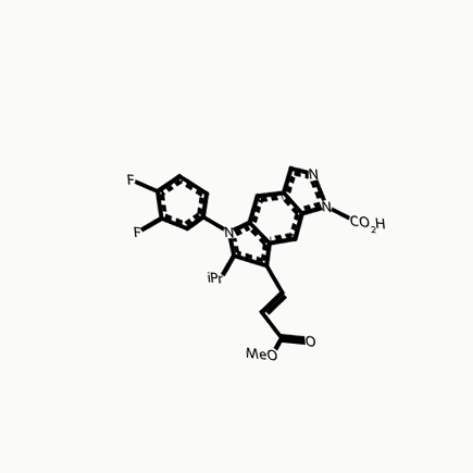 COC(=O)/C=C/c1c(C(C)C)n(-c2ccc(F)c(F)c2)c2cc3cnn(C(=O)O)c3cc12